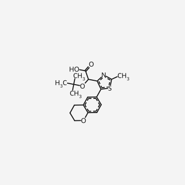 Cc1nc(C(OC(C)(C)C)C(=O)O)c(-c2ccc3c(c2)CCCO3)s1